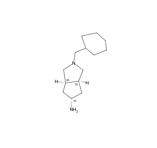 N[C@H]1C[C@@H]2CN(CC3CCCCC3)C[C@@H]2C1